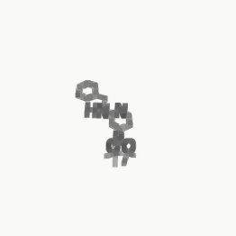 CC1(C)OB(c2ccnc(NCc3ccccc3)c2)OC1(C)C